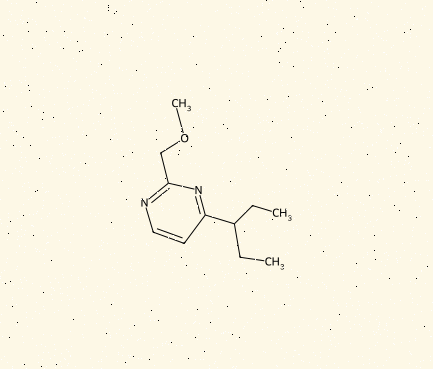 CCC(CC)c1ccnc(COC)n1